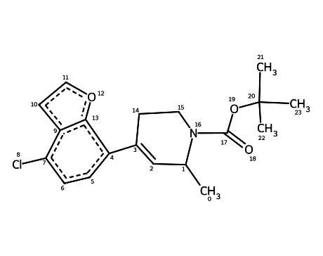 CC1C=C(c2ccc(Cl)c3ccoc23)CCN1C(=O)OC(C)(C)C